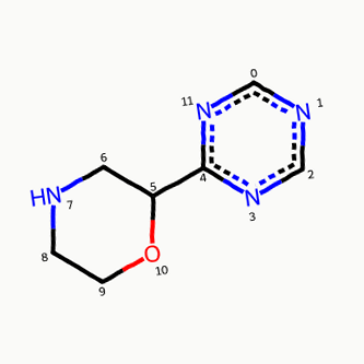 c1ncnc(C2CNCCO2)n1